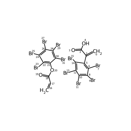 C=C(C(=O)O)c1c(Br)c(Br)c(Br)c(Br)c1Br.C=CC(=O)Oc1c(Br)c(Br)c(Br)c(Br)c1Br